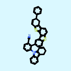 N#Cc1cccc(-n2c3c(c4ccccc42)CCC=C3)c1-c1ccc2sc3ccc4c5c(sc4c3c2c1)C=CC(c1ccccc1)C5